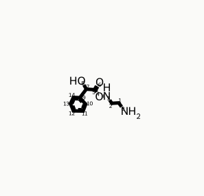 NCCNOC(=O)C(O)c1ccccc1